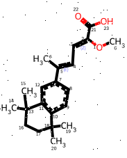 CO/C(=C\C=C(/C)c1ccc2c(c1)C(C)(C)CCC2(C)C)C(=O)O